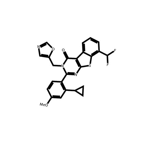 COc1ccc(-c2nc3sc4c(C(F)F)cccc4c3c(=O)n2Cc2cnco2)c(C2CC2)c1